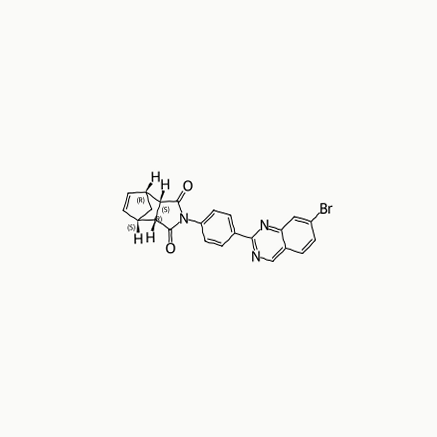 O=C1[C@@H]2[C@H](C(=O)N1c1ccc(-c3ncc4ccc(Br)cc4n3)cc1)[C@@H]1C=C[C@H]2C1